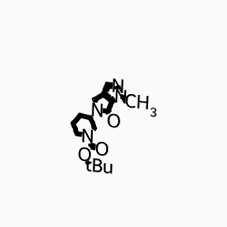 Cn1ncc2c1C(=O)N([C@H]1CCCN(C(=O)OC(C)(C)C)C1)C2